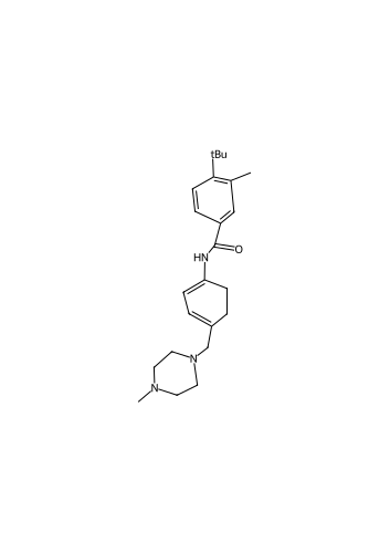 Cc1cc(C(=O)NC2=CC=C(CN3CCN(C)CC3)CC2)ccc1C(C)(C)C